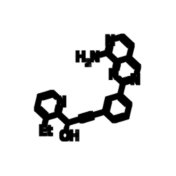 CCc1cccnc1[C@H](O)C#Cc1cccc(-c2ncc3ccnc(N)c3n2)c1